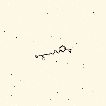 O=C(CBr)CCCCOCc1cccc(C2CC2)c1